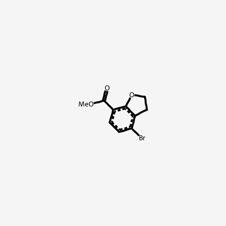 COC(=O)c1ccc(Br)c2c1OCC2